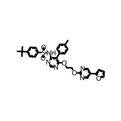 Cc1ccc(-c2c(NS(=O)(=O)c3ccc(C(C)(C)C)cc3)ncnc2OCCOc2ncc(-c3ccco3)cn2)cc1